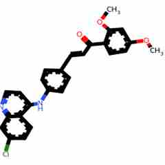 COc1ccc(C(=O)C=Cc2ccc(Nc3ccnc4cc(Cl)ccc34)cc2)c(OC)c1